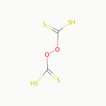 S=C(S)OOC(=S)S